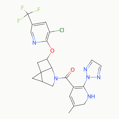 CC1=CC(C(=O)N2CC3CC34CC(Oc3ncc(C(F)(F)F)cc3Cl)C24)=C(n2nccn2)NC1